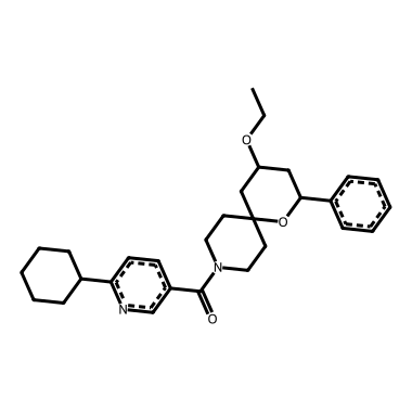 CCOC1CC(c2ccccc2)OC2(CCN(C(=O)c3ccc(C4CCCCC4)nc3)CC2)C1